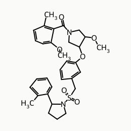 COc1cccc(C)c1C(=O)N1CC(OC)C(Oc2cccc(CS(=O)(=O)N3CCCC3c3ccccc3C)c2)C1